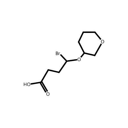 O=C(O)CCC(Br)OC1CCCOC1